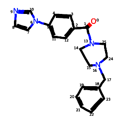 O=C(c1ccc(-n2ccnc2)cc1)N1CCN(Cc2ccccc2)CC1